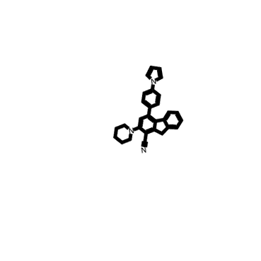 N#Cc1c(N2CCCCC2)cc(-c2ccc(-n3cccc3)cc2)c2c1Cc1ccccc1-2